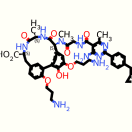 Cc1nc(-c2ccc(CC3CC3)cc2)nc(N)c1C(=O)NCC(=O)N(C)[C@@H]1C(=O)N[C@@H](C)C(=O)N[C@H](C(=O)O)Cc2ccc(OCCCN)c(c2)-c2cc1cc(OCCCN)c2O